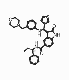 CC[C@@H](NC(=O)c1ccc2c(c1)C(=C(Nc1cccc(CN3CCOCC3)c1)c1ccsc1)C(=O)N2)c1ccccc1